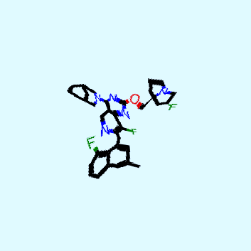 Cc1cc(-c2ncc3c(N4CC5CCC(C5)C4)nc(OC[C@@]45CCCN4C[C@H](F)C5)nc3c2F)c2c(F)cccc2c1